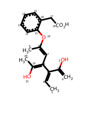 C=C(O)C(=C\C)/C(/C=C(\C)Oc1ccccc1CC(=O)O)=C(/C)O